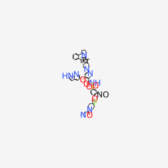 CC(C)c1ccccc1C1CCCN1C1CC2(CCN(c3cc(Oc4cnc5[nH]ccc5c4)c(C(=O)NS(=O)(=O)c4ccc(OCC5(F)CCN(C(=O)CN(C)C)CC5)c(N=O)c4)cn3)CC2)C1